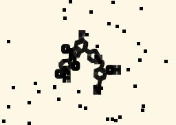 N#Cc1ccc(CN2CCC(c3cc(F)cc4c3CN(C3CCC(=O)NC3=O)C4=O)CC2)c(O)c1